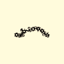 COc1cc(C=CC(=O)OC2CCC(Oc3ccc(-c4ccc(SC(=O)C5CCOC5)cc4)cc3)CC2)ccc1OC(=O)C(C)(C)Oc1ccccc1